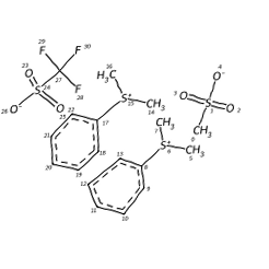 CS(=O)(=O)[O-].C[S+](C)c1ccccc1.C[S+](C)c1ccccc1.O=S(=O)([O-])C(F)(F)F